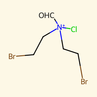 O=C[N+](Cl)(CCBr)CCBr